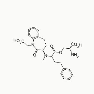 CN(C(CCc1ccccc1)C(=O)OC[C@H](N)C(=O)O)[C@@H]1CCc2ccccc2N(CC(=O)O)C1=O